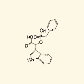 O=C(O)C(OP(=O)(O)Cc1ccccc1)c1c[nH]c2ccccc12